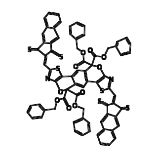 O=C(OCc1ccccc1)C1(C(=O)OCc2ccccc2)Oc2nc(C=C3C(=S)c4cc5ccccc5cc4C3=S)sc2-c2cc3c(cc21)-c1sc(C=C2C(=S)c4cc5ccccc5cc4C2=S)nc1OC3(C(=O)OCc1ccccc1)C(=O)OCc1ccccc1